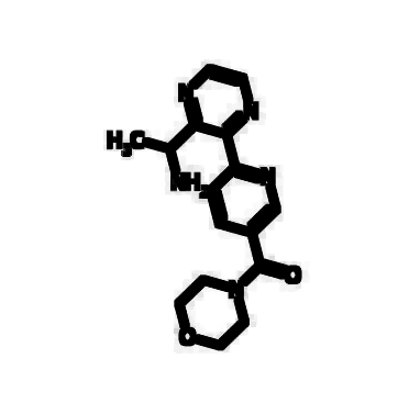 CC(N)c1nccnc1-c1ccc(C(=O)N2CCOCC2)cn1